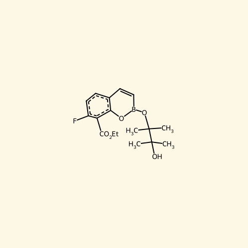 CCOC(=O)c1c(F)ccc2c1OB(OC(C)(C)C(C)(C)O)C=C2